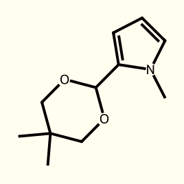 Cn1cccc1C1OCC(C)(C)CO1